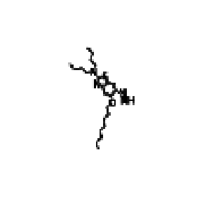 CCCCCCCCOc1cc2nc(N(CCCC)CCCC)sc2cc1N=N